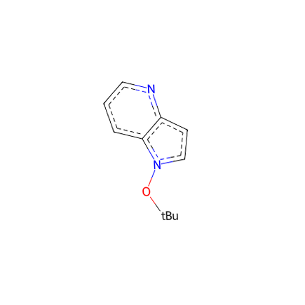 CC(C)(C)On1ccc2ncccc21